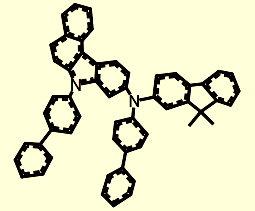 CC1(C)c2ccccc2-c2ccc(N(c3ccc(-c4ccccc4)cc3)c3ccc4c5c6ccccc6ccc5n(-c5ccc(-c6ccccc6)cc5)c4c3)cc21